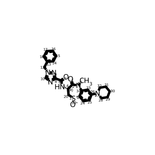 CN1C(=O)[C@@H](NC(=O)c2ncn(Cc3ccccc3)n2)C[S+]([O-])c2ccc(N3CCCCC3)cc21